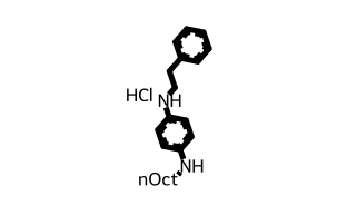 CCCCCCCCNc1ccc(NCCc2ccccc2)cc1.Cl